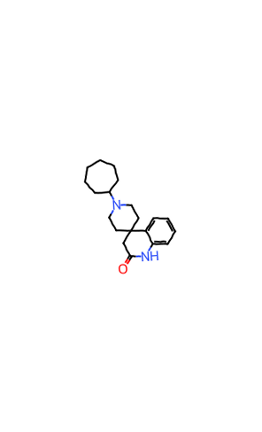 O=C1CC2(CCN(C3CCCCCC3)CC2)c2ccccc2N1